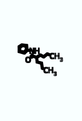 CCCCC(CCCC)C(=O)Nc1ccccc1